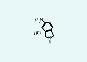 CN1Cc2ccc(N)cc2C1.Cl